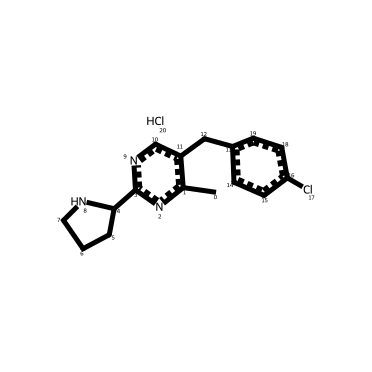 Cc1nc(C2CCCN2)ncc1Cc1ccc(Cl)cc1.Cl